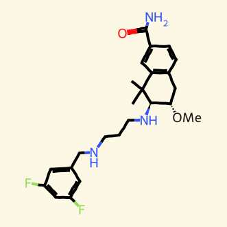 CO[C@H]1Cc2ccc(C(N)=O)cc2C(C)(C)[C@@H]1NCCCNCc1cc(F)cc(F)c1